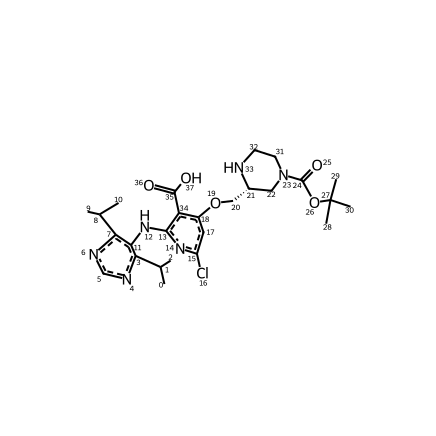 CC(C)c1ncnc(C(C)C)c1Nc1nc(Cl)cc(OC[C@H]2CN(C(=O)OC(C)(C)C)CCN2)c1C(=O)O